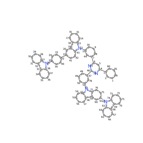 c1ccc(-c2cc(-c3cccc(-n4c5ccccc5c5cc(-c6ccc(-n7c8ccccc8c8ccccc87)cc6)ccc54)c3)nc(-c3cccc(-n4c5ccccc5c5cc(-n6c7ccccc7c7ccccc76)ccc54)c3)n2)cc1